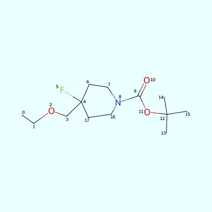 CCOCC1(F)CCN(C(=O)OC(C)(C)C)CC1